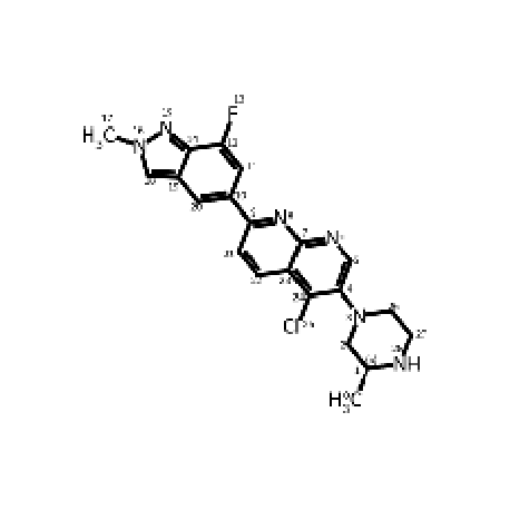 C[C@H]1CN(c2cnc3nc(-c4cc(F)c5nn(C)cc5c4)ccc3c2Cl)CCN1